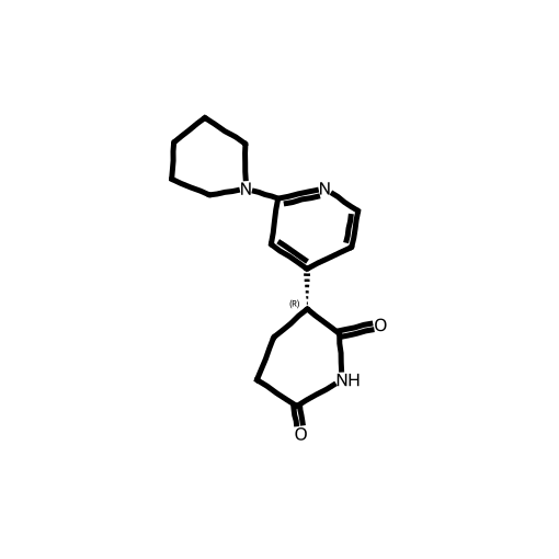 O=C1CC[C@H](c2ccnc(N3CCCCC3)c2)C(=O)N1